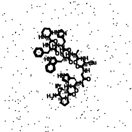 CC(C)C[C@H](NC(=O)[C@H](Cc1c[nH]cn1)N(C)C(=O)CNC(=O)[C@@H](NC(=O)[C@H](C)NC(=O)[C@H](Cc1c[nH]c2ccccc12)NC(=O)[C@H](Cc1c[nH]cn1)NC(=O)[C@@H](Cc1ccccc1)NC(=O)[C@@H]1CCCCN1)C(C)(C)C)C(=O)N1CCC[C@H]1C(N)=O